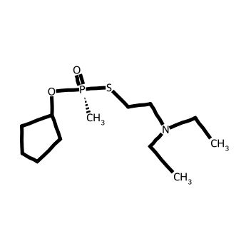 CCN(CC)CCS[P@](C)(=O)OC1CCCC1